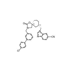 N#Cc1ccc2ncn(C[C@H]3CCC[C@]4(C3)CN(Cc3cccc(-c5ccc(Cl)cc5)c3)C(=O)O4)c2c1